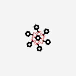 O=C(Oc1c(OC(=O)c2ccccc2)c(OC(=O)c2ccccc2)c(OC(=O)c2ccccc2)c(OC(=O)c2ccccc2)c1OC(=O)c1ccccc1)c1ccccc1